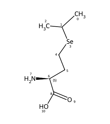 CC(C)[Se]CC[C@H](N)C(=O)O